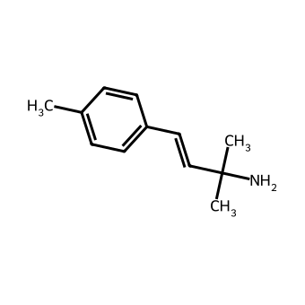 Cc1ccc(C=CC(C)(C)N)cc1